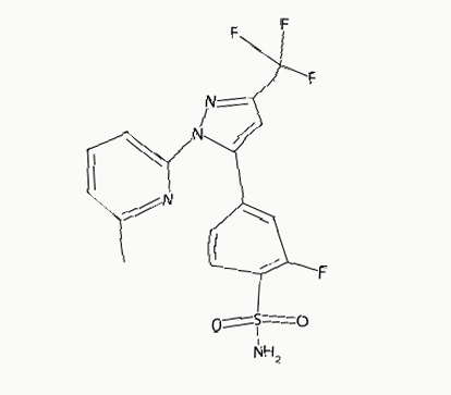 Cc1cccc(-n2nc(C(F)(F)F)cc2-c2ccc(S(N)(=O)=O)c(F)c2)n1